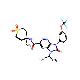 CC(C)n1c(=O)n(-c2cccc(OC(F)(F)F)c2)c2ncc(C(=O)NC3(C)CCS(=O)(=O)CC3)cc21